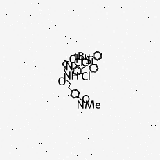 CNC(=O)c1ccc(C=CC(=O)NCc2ccc(Cl)n2-c2ccc(Cl)c(CO[Si](c3ccccc3)(c3ccccc3)C(C)(C)C)c2Cl)cc1